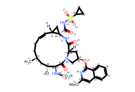 CC[C@@H]1C[C@@H](C)CCC=C[C@@H]2C[C@@]2(C(=O)NS(=O)(=O)C2CC2)NC(=O)[C@@H]2C[C@@H](Oc3nc(OC)cc4ccccc34)CN2C(=O)[C@H]1NC(=O)O